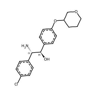 N[C@@H](c1ccc(Cl)cc1)[C@H](O)c1ccc(OC2CCCOC2)cc1